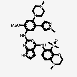 COc1cc(N2CCN(C)CC2)c(-c2cnn(C)c2)cc1Nc1nc(Nc2ccc3c(c2P(C)(C)=O)OCCN3C)c2cc[nH]c2n1